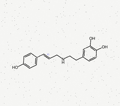 Oc1ccc(/C=C/CNCCc2ccc(O)c(O)c2)cc1